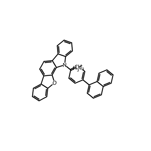 C=C(/C=C\C(=C/C)c1cccc2ccccc12)n1c2ccccc2c2ccc3c4ccccc4oc3c21